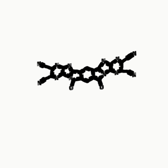 N#Cc1nc2nc3c4cc5c(cc4c(=O)n3c2nc1C#N)c(=O)n1c2nc(C#N)c(C#N)nc2nc51